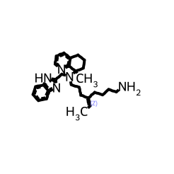 C/C=C(/CCCCN)CCCN(Cc1nc2ccccc2[nH]1)C1(C)CCCc2cccnc21